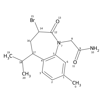 Cc1ccc2c(c1)N(CC(N)=O)C(=O)C(Br)CC2C(C)C